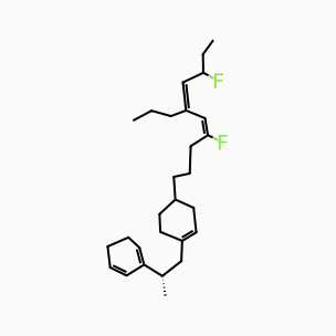 CCCC(=C/C(F)CC)/C=C(/F)CCCC1CC=C(C[C@H](C)C2=CCCC=C2)CC1